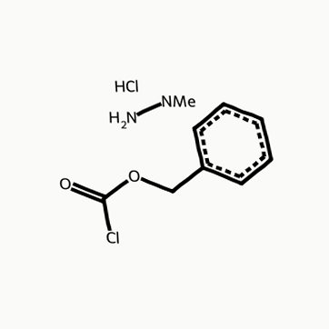 CNN.Cl.O=C(Cl)OCc1ccccc1